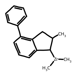 CC1Cc2c(-c3ccccc3)cccc2[CH]1[Zr]([CH3])[CH3]